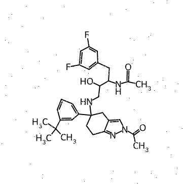 CC(=O)NC(Cc1cc(F)cc(F)c1)C(O)CNC1(c2cccc(C(C)(C)C)c2)CCc2nn(C(C)=O)cc2C1